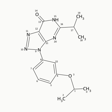 CC(C)Oc1cccc(-n2nnc3c(=O)[nH]c(C(C)C)nc32)c1